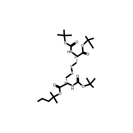 CCCC(C)(C)OC(=O)[C@H](CSSC[C@H](NC(=O)OC(C)(C)C)C(=O)OC(C)(C)C)NC(=O)OC(C)(C)C